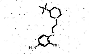 C[N+](C)(C)C1CCCN(CCOc2ccc(N)cc2N)C1